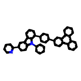 c1ccc(-n2c3ccc(-c4ccccn4)cc3c3cccc(-c4ccc(-c5ccc6c7ccccc7c7ccccc7c6c5)cc4)c32)cc1